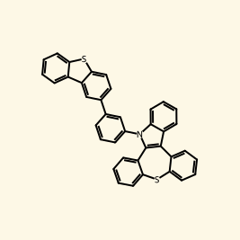 c1cc(-c2ccc3sc4ccccc4c3c2)cc(-n2c3c(c4ccccc42)-c2ccccc2Sc2ccccc2-3)c1